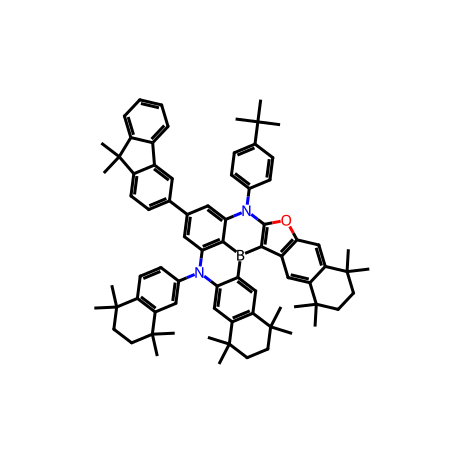 CC(C)(C)c1ccc(N2c3cc(-c4ccc5c(c4)-c4ccccc4C5(C)C)cc4c3B(c3cc5c(cc3N4c3ccc4c(c3)C(C)(C)CCC4(C)C)C(C)(C)CCC5(C)C)c3c2oc2cc4c(cc32)C(C)(C)CCC4(C)C)cc1